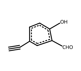 C#Cc1ccc(O)c(C=O)c1